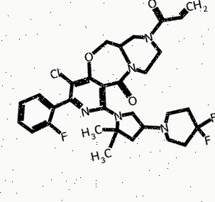 C=CC(=O)N1CCN2C(=O)c3c(N4CC(N5CCC(F)(F)CC5)CC4(C)C)nc(-c4ccccc4F)c(Cl)c3OCC2C1